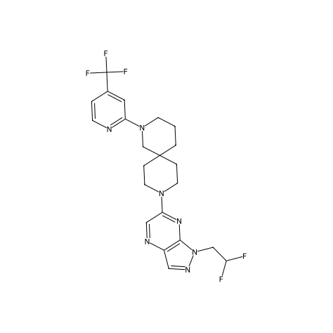 FC(F)Cn1ncc2ncc(N3CCC4(CCCN(c5cc(C(F)(F)F)ccn5)C4)CC3)nc21